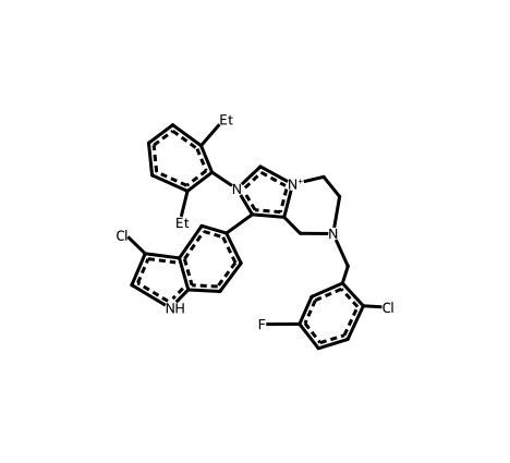 CCc1cccc(CC)c1-n1c[n+]2c(c1-c1ccc3[nH]cc(Cl)c3c1)CN(Cc1cc(F)ccc1Cl)CC2